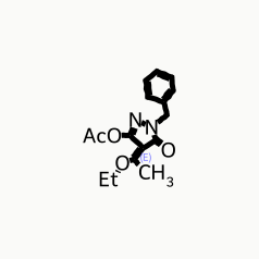 CCO/C(C)=C1/C(=O)N(Cc2ccccc2)N=C1OC(C)=O